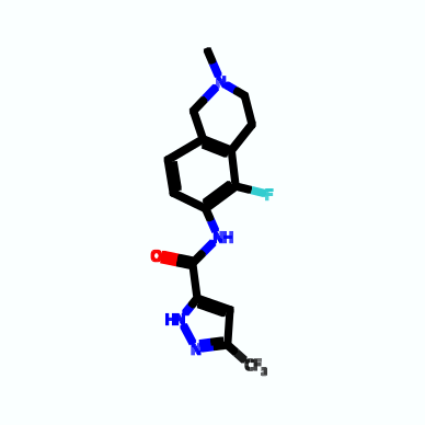 CN1CCc2c(ccc(NC(=O)c3cc(C(F)(F)F)n[nH]3)c2F)C1